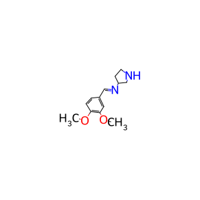 COc1ccc(C=NC2CCNC2)cc1OC